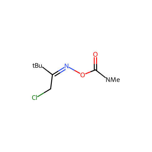 CNC(=O)ON=C(CCl)C(C)(C)C